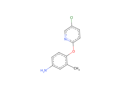 Cc1cc(N)ccc1Oc1ccc(Cl)cn1